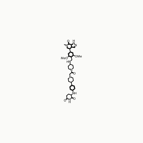 COc1cc(-c2cn(C)c(=O)c3[nH]ncc23)cc(OC)c1CNC1CCN(C(=O)CN2CCC(c3ccc(NC4CCC(=O)NC4=O)cc3)CC2)CC1